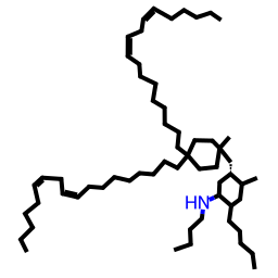 CCCCC/C=C\C/C=C\CCCCCCCCC1(CCCCCCCC/C=C\C/C=C\CCCCC)CCC(C)(C[C@H]2CC(NCCCC)C(CCCCC)CC2C)CC1